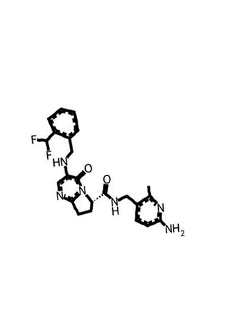 Cc1nc(N)ccc1CNC(=O)[C@@H]1CCc2ncc(NCc3ccccc3C(F)F)c(=O)n21